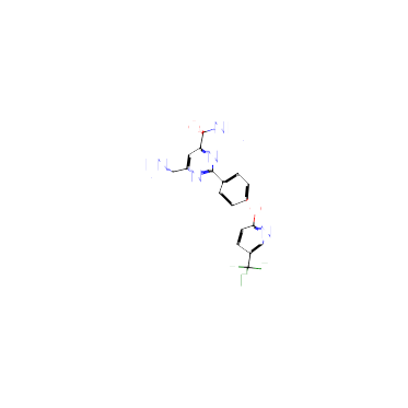 NCc1cc(C(N)=O)nc(-c2ccc(Oc3ccc(C(F)(F)F)cn3)cc2)n1